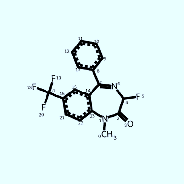 CN1C(=O)C(F)N=C(c2ccccc2)c2cc(C(F)(F)F)ccc21